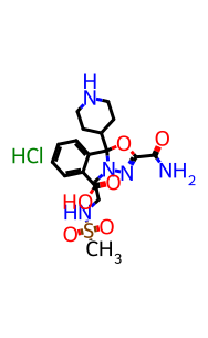 CS(=O)(=O)NCCN1N=C(C(N)=O)OC1(c1ccccc1C(=O)O)C1CCNCC1.Cl